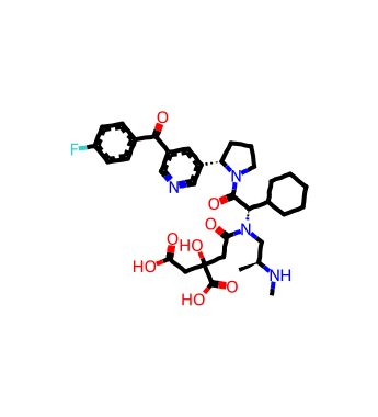 CN[C@@H](C)CN(C(=O)CC(O)(CC(=O)O)C(=O)O)[C@H](C(=O)N1CCC[C@H]1c1cncc(C(=O)c2ccc(F)cc2)c1)C1CCCCC1